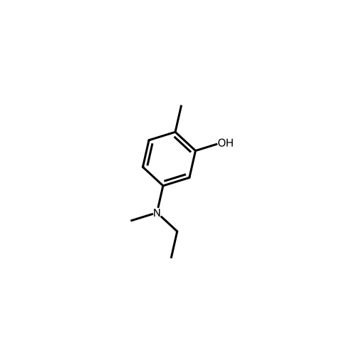 CCN(C)c1ccc(C)c(O)c1